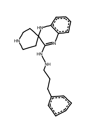 c1ccc(CCCNNC2=Nc3ccccc3NC23CCNCC3)cc1